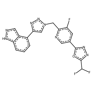 Fc1cc(-c2nnc(C(F)F)o2)cnc1Cn1cc(-c2cccc3[nH]ncc23)nn1